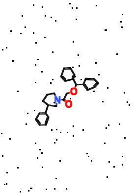 O=C(COC(c1ccccc1)c1ccccc1)N1CCCC(c2ccccc2)C1